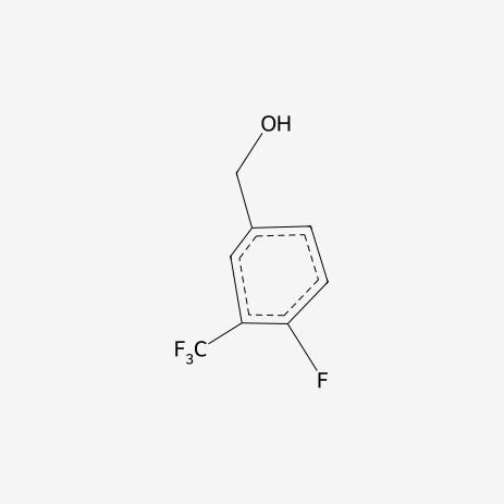 OCc1ccc(F)c(C(F)(F)F)c1